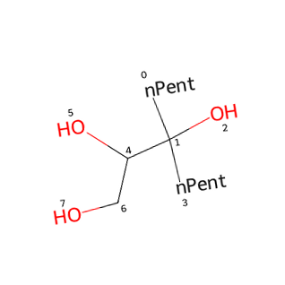 CCCCCC(O)(CCCCC)C(O)CO